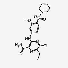 CCc1nc(C(N)=O)c(Nc2ccc(S(=O)(=O)N3CCCCC3)c(OC)c2)nc1Cl